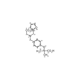 CCOC(=O)CN(Cc1ccc(OC(C)(C)C(=O)O)cc1)Cc1ccco1